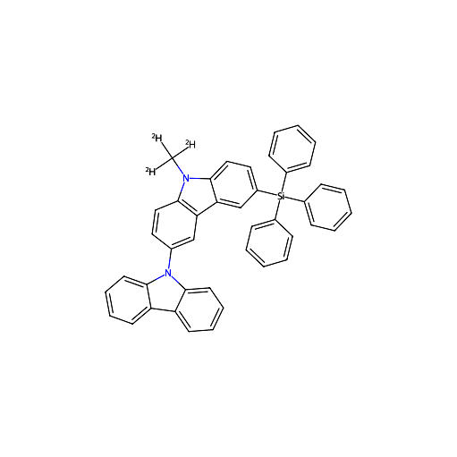 [2H]C([2H])([2H])n1c2ccc(-n3c4ccccc4c4ccccc43)cc2c2cc([Si](c3ccccc3)(c3ccccc3)c3ccccc3)ccc21